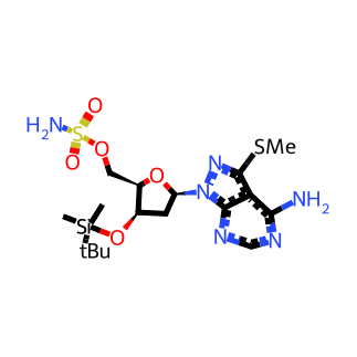 CSc1nn([C@H]2C[C@@H](O[Si](C)(C)C(C)(C)C)[C@@H](COS(N)(=O)=O)O2)c2ncnc(N)c12